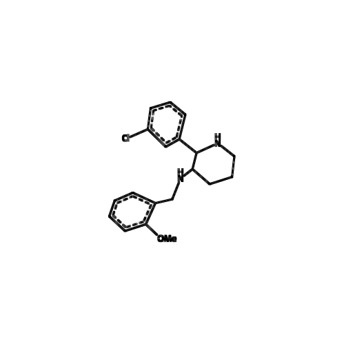 COc1ccccc1CNC1CCCNC1c1cccc(Cl)c1